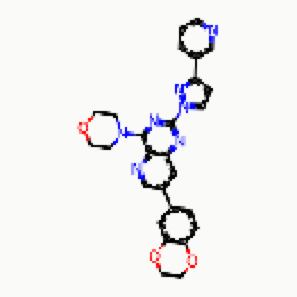 c1cncc(-c2ccn(-c3nc(N4CCOCC4)c4ncc(-c5ccc6c(c5)OCCO6)cc4n3)n2)c1